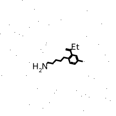 C=C(CC)c1cc(C)ccc1CCCCCN